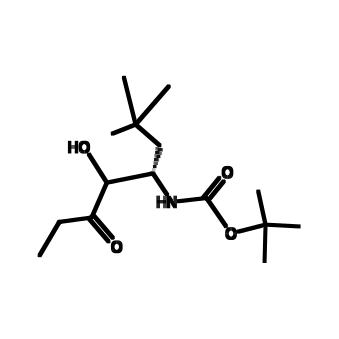 CCC(=O)C(O)[C@H](CC(C)(C)C)NC(=O)OC(C)(C)C